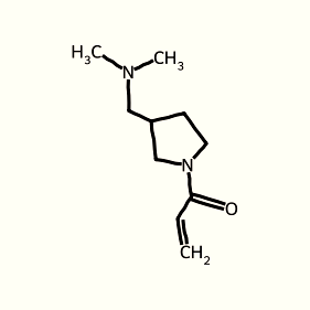 C=CC(=O)N1CCC(CN(C)C)C1